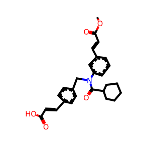 COC(=O)/C=C/c1cccc(N(Cc2ccc(/C=C/C(=O)O)cc2)C(=O)C2CCCCC2)c1